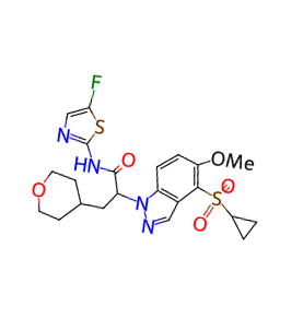 COc1ccc2c(cnn2C(CC2CCOCC2)C(=O)Nc2ncc(F)s2)c1S(=O)(=O)C1CC1